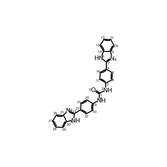 O=C(Nc1ccc(-c2nc3ccccc3[nH]2)cc1)Nc1ccc(-c2nc3ccccc3[nH]2)cc1